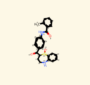 Cc1ccccc1C(=O)Nc1ccc(C(=O)C2CCNc3ccccc3[S+]2[O-])cc1